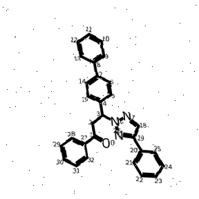 O=C(CC(c1ccc(-c2ccccc2)cc1)n1ncc(-c2ccccc2)n1)c1ccccc1